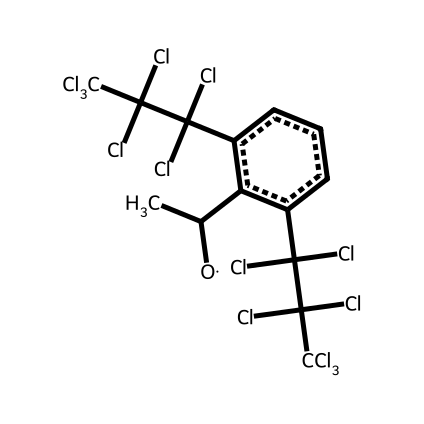 CC([O])c1c(C(Cl)(Cl)C(Cl)(Cl)C(Cl)(Cl)Cl)cccc1C(Cl)(Cl)C(Cl)(Cl)C(Cl)(Cl)Cl